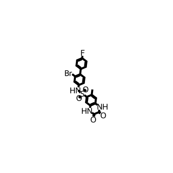 Cc1cc2[nH]c(=O)c(=O)[nH]c2cc1S(=O)(=O)Nc1ccc(-c2ccc(F)cc2)c(Br)c1